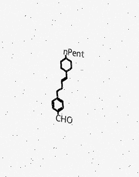 CCCCCC1CCC(C=CCCc2ccc(C=O)cc2)CC1